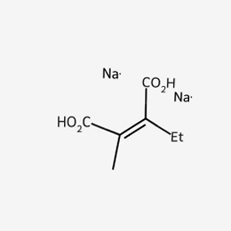 CCC(C(=O)O)=C(C)C(=O)O.[Na].[Na]